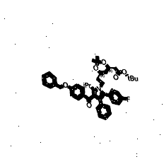 CC(C)c1c(C(=O)c2ccc(OCc3ccccc3)cc2)c(-c2ccccc2)c(-c2ccc(F)cc2)n1CC[C@@H]1C[C@H](CC(=O)OC(C)(C)C)OC(C)(C)O1